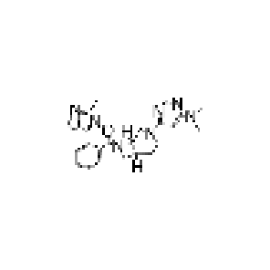 Cc1noc(-c2ccccc2C(=O)N2C[C@H]3CCN(c4cc(N(C)C)ncn4)C[C@H]32)n1